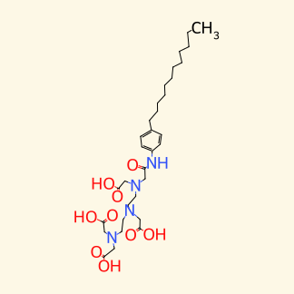 CCCCCCCCCCCCc1ccc(NC(=O)CN(CCN(CCN(CC(=O)O)CC(=O)O)CC(=O)O)CC(=O)O)cc1